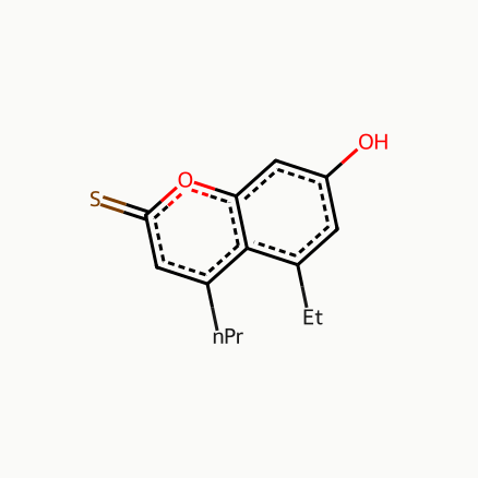 CCCc1cc(=S)oc2cc(O)cc(CC)c12